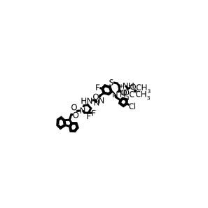 CC(C)(C)OC(=O)N[C@H]1CSc2cc(F)c(-c3nnc(NC4CN(C(=O)OCC5c6ccccc6-c6ccccc65)CC(F)(F)C4)o3)cc2N(Cc2ccc(Cl)cc2)C1=O